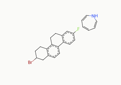 C1=CC=CNC=C1.Fc1ccc2c(c1)CCc1c-2ccc2c1CCC(Br)C2